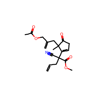 C=CCC(C#N)(C(=O)OC)C1=CCC(=O)C1(C)CC(=C)COC(C)=O